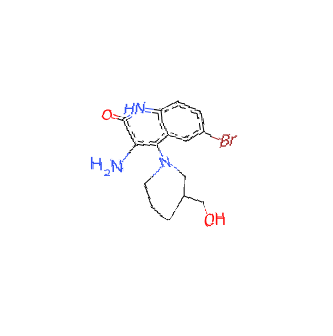 Nc1c(N2CCCC(CO)C2)c2cc(Br)ccc2[nH]c1=O